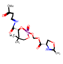 COC(=O)CCNC(=O)[C@@H]1OP(=O)(OCOC(=O)[C@@H]2COC(C)N2)OCC1(C)C